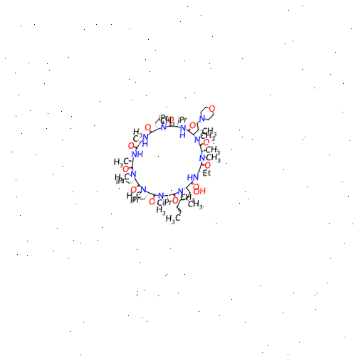 C/C=C/C[C@@H](C)[C@@H](O)[C@H]1C(=O)N[C@@H](CC)C(=O)N(C)[C@H](C)C(=O)N(C)[C@@H]([C@@H](C)CN2CCOCC2)C(=O)N[C@@H](C(C)C)C(=O)N(C)[C@@H](CC(C)C)C(=O)N[C@@H](C)C(=O)N[C@H](C)C(=O)N(C)[C@@H](CC(C)C)C(=O)N(C)[C@@H](CC(C)C)C(=O)N(C)[C@@H](C(C)C)C(=O)N1C